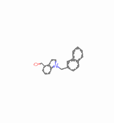 O=Cc1cccc2c1ccn2Cc1ccc2ccccc2c1